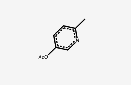 CC(=O)Oc1ccc(C)nc1